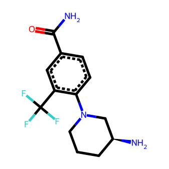 NC(=O)c1ccc(N2CCC[C@H](N)C2)c(C(F)(F)F)c1